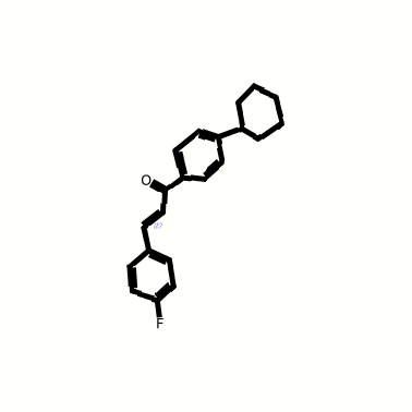 O=C(/C=C/c1ccc(F)cc1)c1ccc(C2CCCCC2)cc1